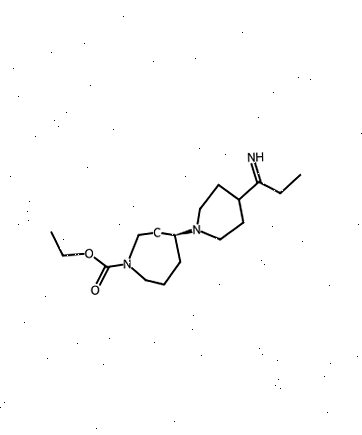 CCOC(=O)N1CCC[C@H](N2CCC(C(=N)CC)CC2)CC1